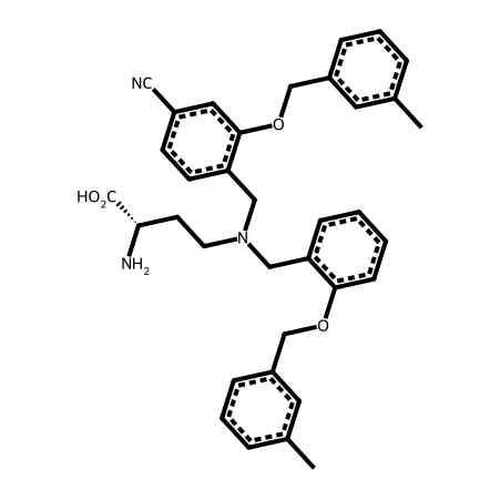 Cc1cccc(COc2ccccc2CN(CC[C@H](N)C(=O)O)Cc2ccc(C#N)cc2OCc2cccc(C)c2)c1